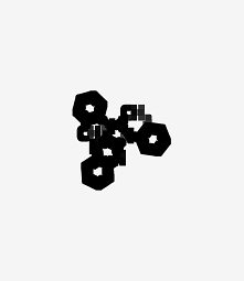 Cc1ccccc1N1c2nc3ccccc3nc2N(c2ccccc2)C1C